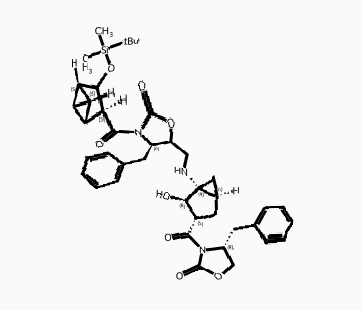 CC(C)(C)[Si](C)(C)OC1[C@@H](C(=O)N2C(=O)OC(CN[C@]34C[C@H]3C[C@H](C(=O)N3C(=O)OC[C@H]3Cc3ccccc3)[C@H]4O)[C@H]2Cc2ccccc2)C2C3[C@@H]2[C@@H]13